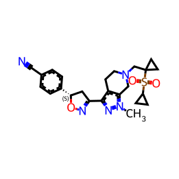 Cn1nc(C2=NO[C@H](c3ccc(C#N)cc3)C2)c2c1CN(CC1(S(=O)(=O)C3CC3)CC1)CC2